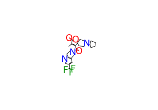 CC1=C(C(=O)N2CCc3ncc(C(F)(F)F)cc3C2)C2(CCN(C3CCCC3)CC2)OC1=O